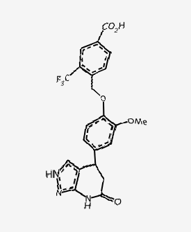 COc1cc(C2CC(=O)Nc3n[nH]cc32)ccc1OCc1ccc(C(=O)O)cc1C(F)(F)F